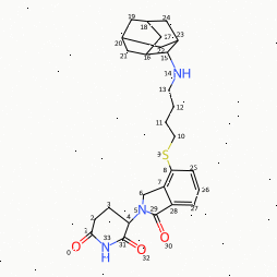 O=C1CCC(N2Cc3c(SCCCCNC4C5CC6CC(C5)CC4C6)cccc3C2=O)C(=O)N1